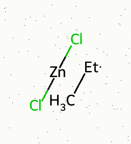 C[CH]C.[Cl][Zn][Cl]